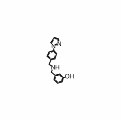 Oc1cccc(CNCc2ccc(-n3cccn3)cc2)c1